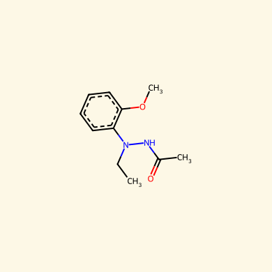 CCN(NC(C)=O)c1ccccc1OC